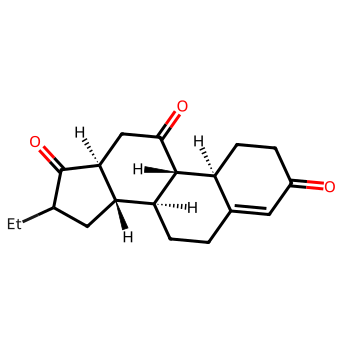 CCC1C[C@H]2[C@@H]3CCC4=CC(=O)CC[C@@H]4[C@H]3C(=O)C[C@@H]2C1=O